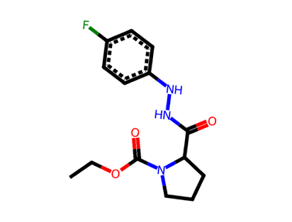 CCOC(=O)N1CCCC1C(=O)NNc1ccc(F)cc1